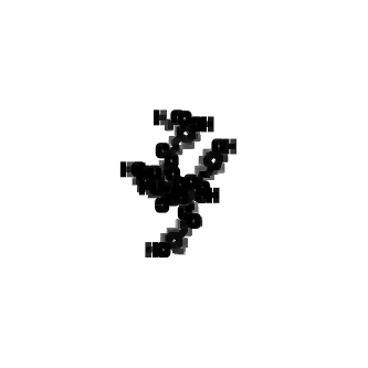 COc1cc(/C=C/C(=O)OC[C@H]2O[C@H](O[C@]3(COC(=O)/C=C/c4ccc(O)cc4)O[C@H](COC(=O)/C=C/c4ccc(O)cc4)[C@@H](O)[C@@H]3OC(=O)/C=C/c3ccc(O)cc3)[C@H](O)[C@@H](O)[C@@H]2O)ccc1O